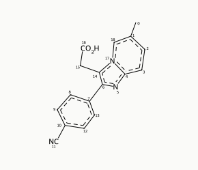 Cc1ccc2nc(-c3ccc(C#N)cc3)c(CC(=O)O)n2c1